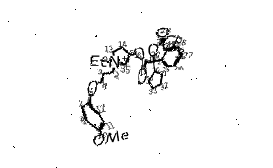 CC[N+]1(CCCOc2ccc(OC)cc2)CCC(OC(=O)C(OC(=O)C(F)(F)F)(c2ccccc2)C2CCCC2)C1